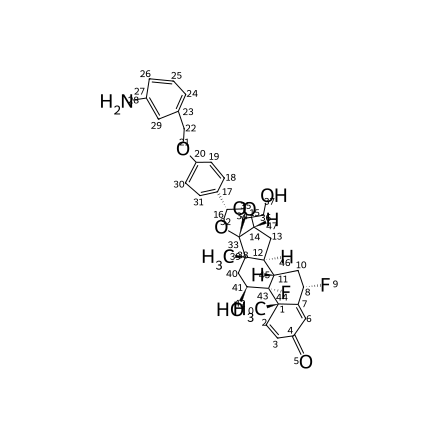 C[C@]12C=CC(=O)C=C1[C@@H](F)C[C@H]1[C@@H]3C[C@H]4O[C@@H](c5ccc(OCc6cccc(N)c6)cc5)O[C@@]4(C(=O)CO)[C@@]3(C)C[C@H](O)[C@@]12F